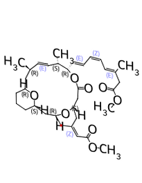 COC(=O)/C=C1\C[C@H]2CC(=O)O[C@@H](/C=C/C=C\C=C(/C)CC(=O)OC)[C@@H](C)/C=C/[C@H](C)C[C@H]3CCC[C@@H](C[C@@H](C1)O2)O3